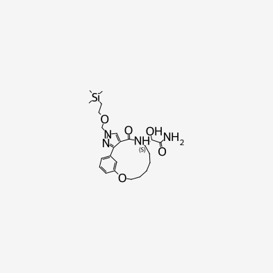 C[Si](C)(C)CCOCn1cc2c(n1)-c1cccc(c1)OCCCCC[C@@H](C(O)C(N)=O)NC2=O